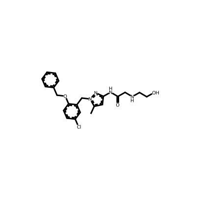 Cc1cc(NC(=O)CNCCO)nn1Cc1cc(Cl)ccc1OCc1ccccc1